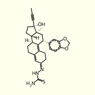 CC#C[C@]1(O)CC[C@H]2[C@@H]3CCC4=CC(=NNC(N)=S)CCC4=C3[C@@H](c3ccc4c(c3)OCO4)C[C@@]21C